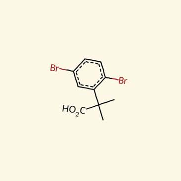 CC(C)(C(=O)O)c1cc(Br)ccc1Br